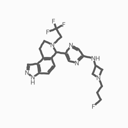 FCCCN1CC(Nc2cnc(C3c4ccc5[nH]ncc5c4CCN3CC(F)(F)F)cn2)C1